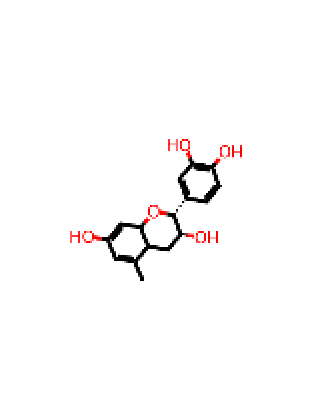 CC1=CC(O)=CC2O[C@H](c3ccc(O)c(O)c3)[C@@H](O)CC12